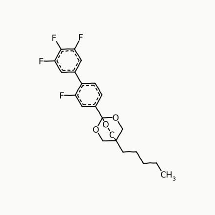 CCCCCC12COC(c3ccc(-c4cc(F)c(F)c(F)c4)c(F)c3)(OC1)OC2